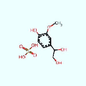 COc1cc(C(O)CO)ccc1O.O=S(=O)(O)O